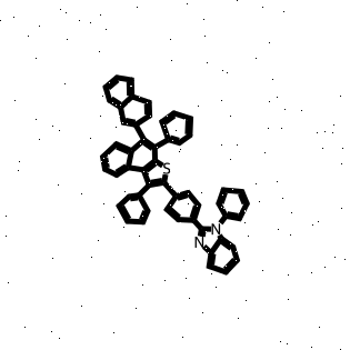 c1ccc(-c2c(-c3ccc4ccccc4c3)c3ccccc3c3c(-c4ccccc4)c(-c4ccc(-c5nc6ccccc6n5-c5ccccc5)cc4)sc23)cc1